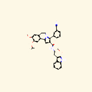 COc1cc2c(cc1OC(C)C)-c1cc(C(=O)N[C@@H](CO)Cc3c[nH]c4ccccc34)c(-c3cccc(C#N)c3)n1CC2